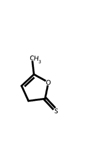 CC1=CCC(=S)O1